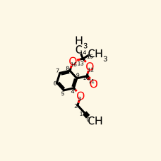 C#CCOc1cccc2c1C(=O)OC(C)(C)O2